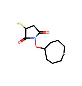 O=C1CC(S)C(=O)N1OC1CCCCCCC1